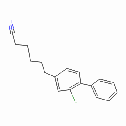 N#CCCCCCc1ccc(-c2ccccc2)c(F)c1